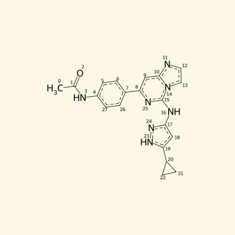 CC(=O)Nc1ccc(-c2cc3nccn3c(Nc3cc(C4CC4)[nH]n3)n2)cc1